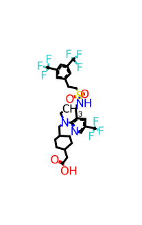 CCN(CC1CCC(CC(=O)O)CC1)c1ncc(C(F)(F)F)cc1CNS(=O)(=O)CCc1cc(C(F)(F)F)cc(C(F)(F)F)c1